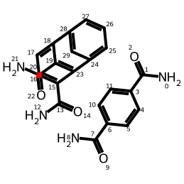 NC(=O)c1ccc(C(N)=O)cc1.NC(=O)c1ccc2c(C(N)=O)c1c1cccc2c1